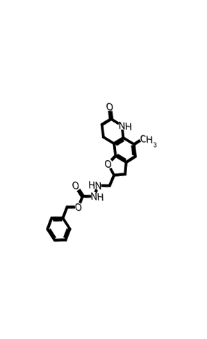 Cc1cc2c(c3c1NC(=O)CC3)OC(CNNC(=O)OCc1ccccc1)C2